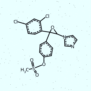 CS(=O)(=O)Oc1ccc(C2(c3ccc(Cl)cc3Cl)OC2n2ccnc2)cc1